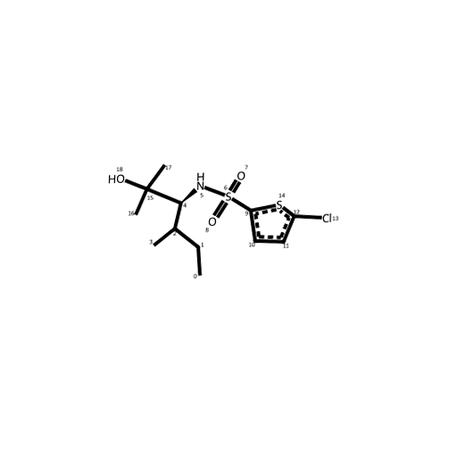 CCC(C)[C@H](NS(=O)(=O)c1ccc(Cl)s1)C(C)(C)O